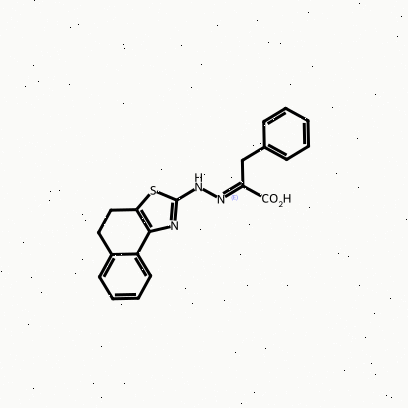 O=C(O)/C(Cc1ccccc1)=N/Nc1nc2c(s1)CCc1ccccc1-2